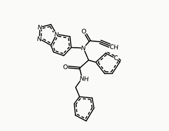 C#CC(=O)N(c1ccc2nncn2c1)C(C(=O)NCc1ccccc1)c1ccccc1